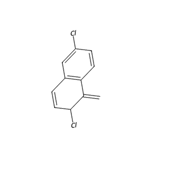 C=C1c2ccc(Cl)cc2C=CC1Cl